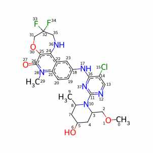 COCC1CC(O)CC(C)N1c1ncc(Cl)c(Nc2ccc3c(c2)c2c(c(=O)n3C)OCC(F)(F)CN2)n1